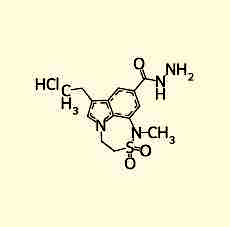 CCc1cn2c3c(cc(C(=O)NN)cc13)N(C)S(=O)(=O)CC2.Cl